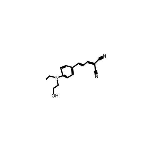 CCN(CCO)c1ccc(/C=C/C=C(C#N)C#N)cc1